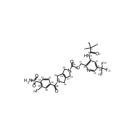 CC(C)(C)C(=O)Nc1cc(C(F)(F)F)cnc1COC(=O)N1CC2=C(C1)CN(C(=O)c1ccc(S(N)(=O)=O)c(F)c1)C2